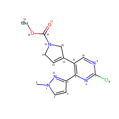 Cn1ccc(-c2nc(Cl)ncc2C2=CCN(C(=O)OC(C)(C)C)C2)n1